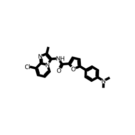 Cc1nc2c(Cl)cccn2c1NC(=O)c1ccc(-c2ccc(N(C)C)cc2)o1